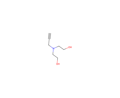 C#CCN(CCO)CCO